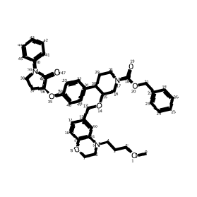 COCCCN1CCOc2ccc(COC3CN(C(=O)OCc4ccccc4)CCC3c3ccc(O[C@H]4CCN(c5ccccc5)C4=O)cc3)cc21